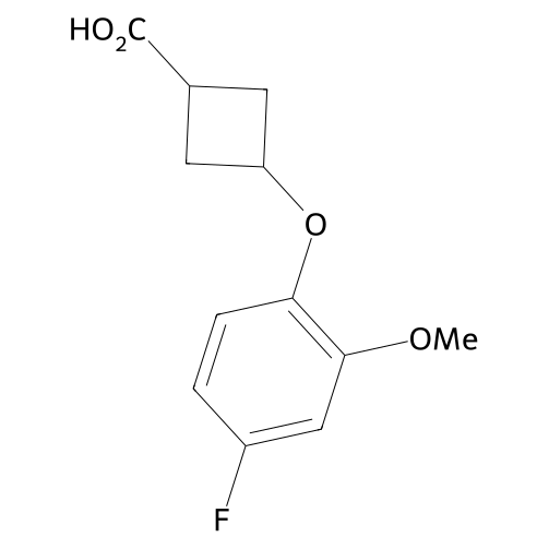 COc1cc(F)ccc1OC1CC(C(=O)O)C1